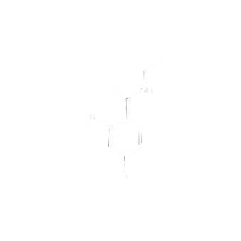 CCNC(=O)c1ccc(Br)cc1N